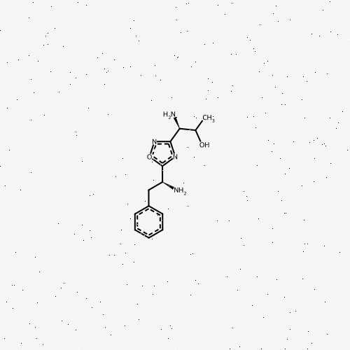 CC(O)[C@H](N)c1noc([C@@H](N)Cc2ccccc2)n1